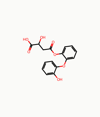 O=C(CC(O)C(=O)O)Oc1ccccc1Oc1ccccc1O